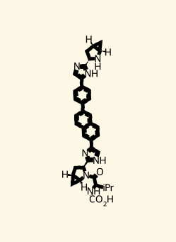 CC(C)C(NC(=O)O)C(=O)N1[C@@H]2C[C@@H]2C[C@H]1c1nc(-c2ccc3cc(-c4ccc(-c5cnc([C@@H]6C[C@H]7C[C@H]7N6)[nH]5)cc4)ccc3c2)c[nH]1